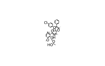 COc1ccnc(C(=O)N[C@@H](C)C(=O)O[C@@H](C)[C@H](Oc2ccc(Cl)cc2)c2ccccc2)c1OCOC(C)O